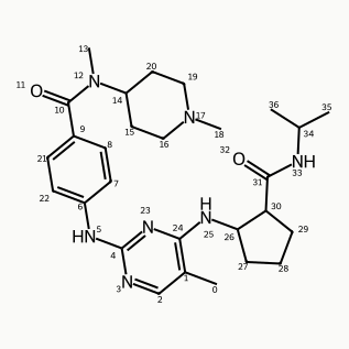 Cc1cnc(Nc2ccc(C(=O)N(C)C3CCN(C)CC3)cc2)nc1NC1CCCC1C(=O)NC(C)C